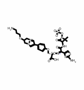 CC1(C)C(NC(=O)/C(=N\O[C@@H](COc2ccc(-c3cn4[n+](c3)CC(OCCCN)C4)cc2)C(=O)O)c2csc(N)n2)C(=O)N1OS(=O)(=O)[O-]